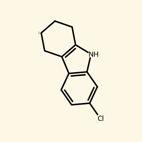 Clc1ccc2c3c([nH]c2c1)CC[C]C3